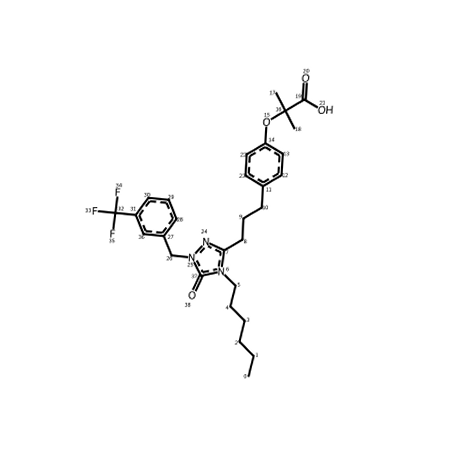 CCCCCCn1c(CCCc2ccc(OC(C)(C)C(=O)O)cc2)nn(Cc2cccc(C(F)(F)F)c2)c1=O